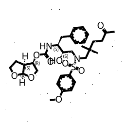 COc1ccc(S(=O)(=O)N(C[C@H](O)[C@H](Cc2ccccc2)NC(=O)O[C@H]2CO[C@H]3OCC[C@H]32)CC(C)(C)CCC(C)=O)cc1